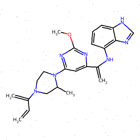 C=CC(=C)N1CCN(c2cc(C(=C)Nc3cccc4[nH]cnc34)nc(OC)n2)C(C)C1